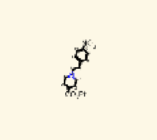 CCOC(=O)C1CCN(CCc2ccc([N+](=O)[O-])cc2)CC1